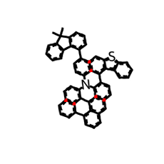 CC1(C)c2ccccc2-c2c(-c3ccc(N(c4ccccc4-c4cccc5cccc(-c6ccccc6)c45)c4ccccc4-c4cccc5sc6ccccc6c45)cc3)cccc21